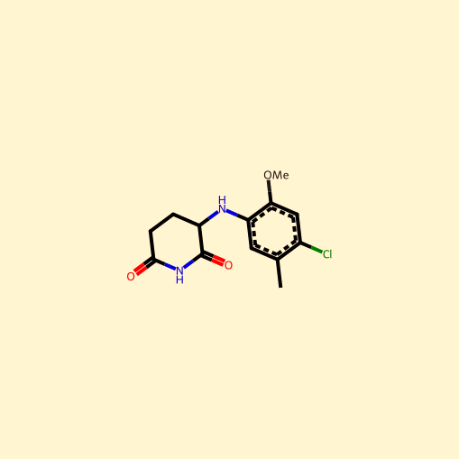 COc1cc(Cl)c(C)cc1NC1CCC(=O)NC1=O